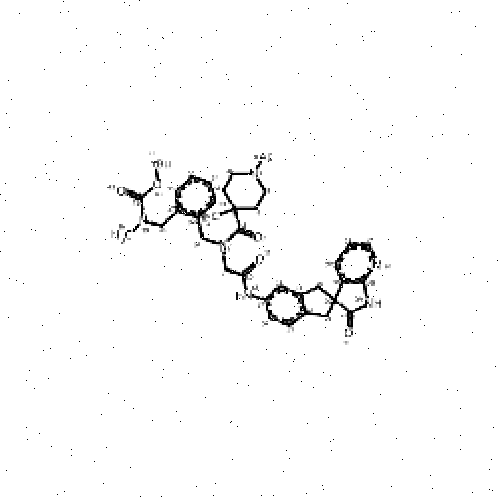 CC(=O)N1CCC(C)(C(=O)N(CC(=O)Nc2ccc3c(c2)CC2(C3)C(=O)Nc3ncccc32)Cc2ccccc2CN(C)C(=O)OC(C)(C)C)CC1